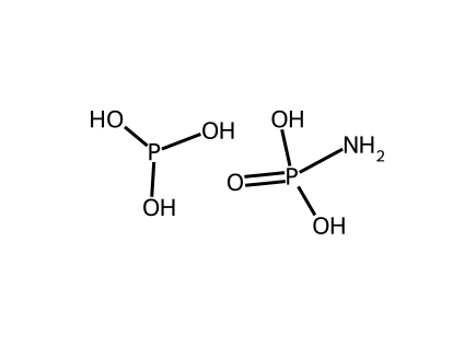 NP(=O)(O)O.OP(O)O